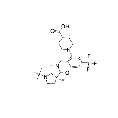 CN(Cc1ccc(C(F)(F)F)cc1N1CCC(C(=O)O)CC1)C(=O)[C@@]1(F)CCN(C(C)(C)C)C1